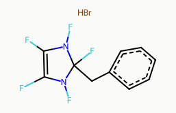 Br.FC1=C(F)N(F)C(F)(Cc2ccccc2)N1F